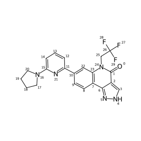 O=c1c2c[nH]nc2c2ccc(-c3cccc(N4CCCC4)n3)cc2n1CC(F)(F)F